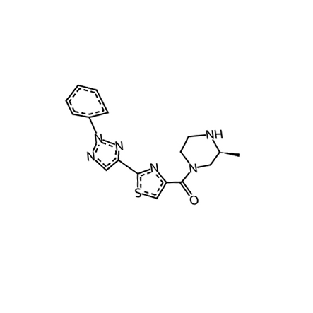 C[C@H]1CN(C(=O)c2csc(-c3cnn(-c4ccccc4)n3)n2)CCN1